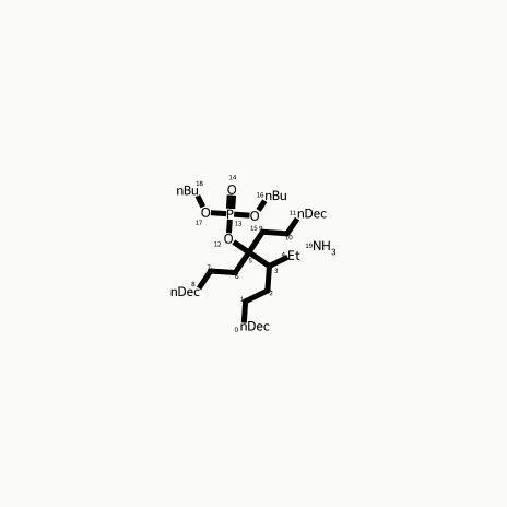 CCCCCCCCCCCCC(CC)C(CCCCCCCCCCCC)(CCCCCCCCCCCC)OP(=O)(OCCCC)OCCCC.N